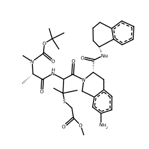 COC(=O)CSC(C)(C)C(NC(=O)[C@H](C)N(C)C(=O)OC(C)(C)C)C(=O)N1Cc2cc(N)ccc2C[C@H]1C(=O)N[C@@H]1CCCc2ccccc21